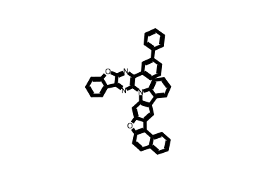 c1ccc(-c2cccc(-c3nc4oc5ccccc5c4nc3-n3c4ccccc4c4cc5c(cc43)oc3ccc4ccccc4c35)c2)cc1